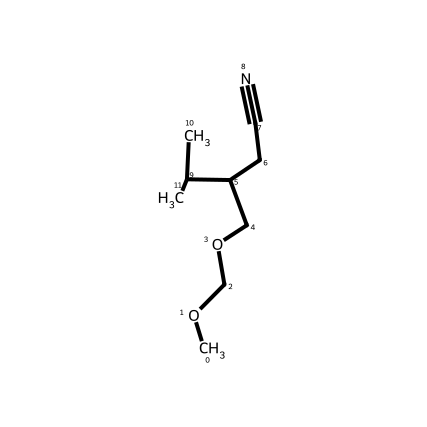 COCOCC(CC#N)C(C)C